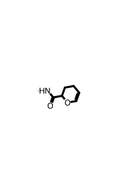 [NH]C(=O)C1CCC=CO1